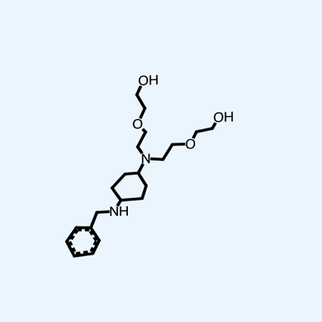 OCCOCCN(CCOCCO)C1CCC(NCc2ccccc2)CC1